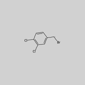 Clc1ccc([CH]Br)cc1Cl